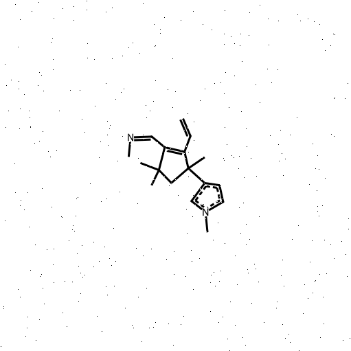 C=CC1=C(/C=N\C)C(C)(C)CC1(C)c1ccn(C)c1